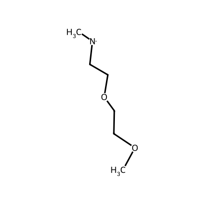 C[N]CCOCCOC